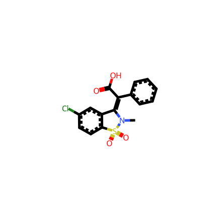 CN1/C(=C(/C(=O)O)c2ccccc2)c2cc(Cl)ccc2S1(=O)=O